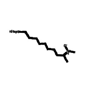 CCCCCCCCCCCCCCCC(C)[NH+](C)[O-]